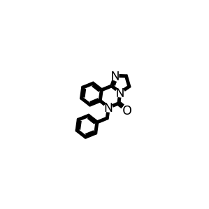 O=C1N2CCN=C2c2ccccc2N1Cc1ccccc1